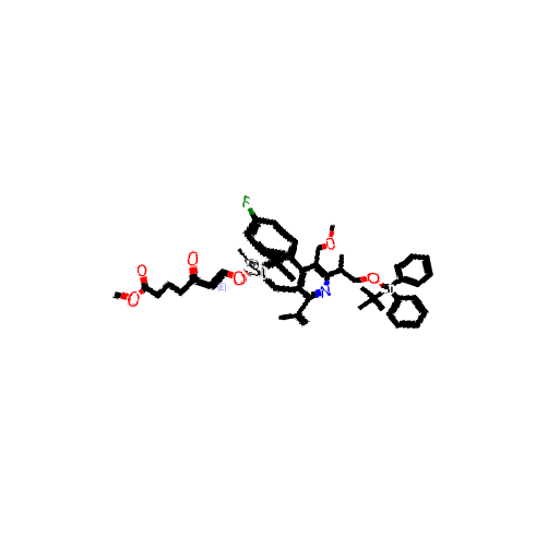 COCc1c(C(C)CO[Si](c2ccccc2)(c2ccccc2)C(C)(C)C)nc(C(C)C)c(C[Si@](C)(O/C=C/C(=O)CCCC(=O)OC)C(C)(C)C)c1-c1ccc(F)cc1